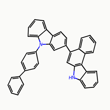 c1ccc(-c2ccc(-n3c4ccccc4c4ccc(-c5cc6[nH]c7ccccc7c6c6ccccc56)cc43)cc2)cc1